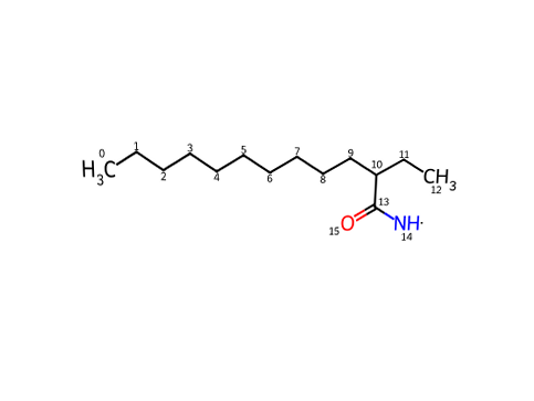 CCCCCCCCCCC(CC)C([NH])=O